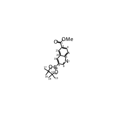 COC(=O)c1ccc2ncc(B3OC(C)(C)C(C)(C)O3)cc2c1